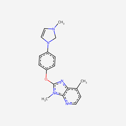 Cc1ccnc2c1nc(Oc1ccc(N3C=CN(C)C3)cc1)n2C